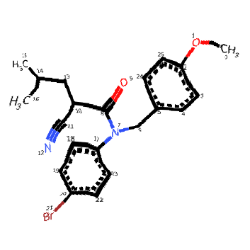 COc1ccc(CN(C(=O)C(C#N)CC(C)C)c2ccc(Br)cc2)cc1